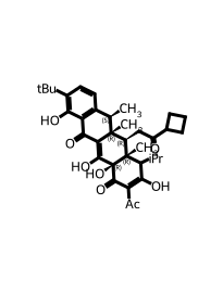 CC(=O)C1=C(O)C(C(C)C)[C@@]2(C)[C@H](CC(=O)C3CCC3)[C@]3(C)C(=C(O)[C@@]2(O)C1=O)C(=O)c1c(ccc(C(C)(C)C)c1O)[C@H]3C